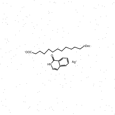 CCCCCCCCCCCCCCCCCCCCCC(=O)[O-].O=c1[nH]ncc2ccccc12.[Ag+]